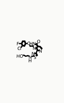 O=c1[nH]c(COc2ccc(F)c(Cl)c2)nc2c(-c3csc(NCCCO)n3)nccc12